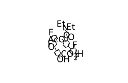 CCN(CC)CCOC(=O)c1cc(-c2ccc(F)cc2F)ccc1OC(C)=O.O=C(Cc1ccc(F)cc1F)c1ccc(O)c(C(=O)O)c1